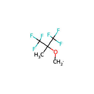 [CH2]OC(C)(C(F)(F)F)C(F)(F)F